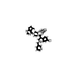 CC1CCc2ncnc(N3CCN(C(=O)C(CNCc4cccnc4)c4ccc(Cl)cc4)CC3)c21.Cl.Cl.Cl